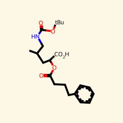 CC(CNC(=O)OC(C)(C)C)CC(OC(=O)CCCc1ccccc1)C(=O)O